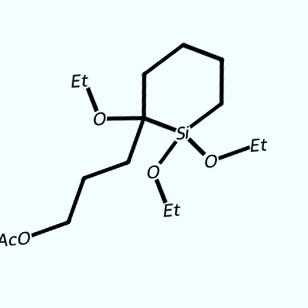 CCOC1(CCCOC(C)=O)CCCC[Si]1(OCC)OCC